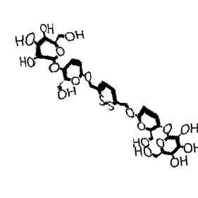 OC[C@H]1O[C@@H](O[C@H]2C=C[C@@H](OCC3=CC=C(CO[C@@H]4C=C[C@H](O[C@@H]5O[C@H](CO)[C@H](O)[C@H](O)[C@H]5O)[C@@H](CO)O4)SS3)O[C@@H]2CO)[C@H](O)[C@@H](O)[C@H]1O